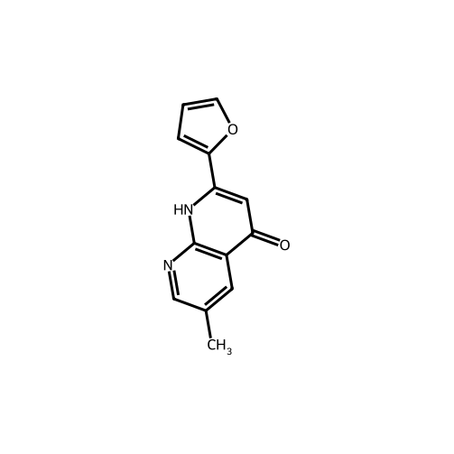 Cc1cnc2[nH]c(-c3ccco3)cc(=O)c2c1